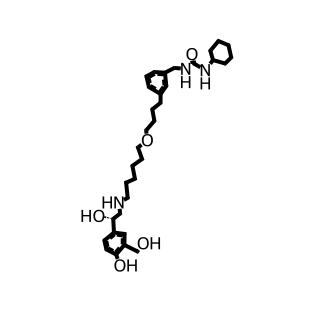 O=C(NCc1cccc(CCCCOCCCCCCNC[C@@H](O)c2ccc(O)c(CO)c2)c1)NC1CCCCC1